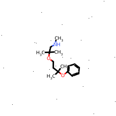 CNCC(C)(C)OCCC(C)(C)Oc1ccccc1